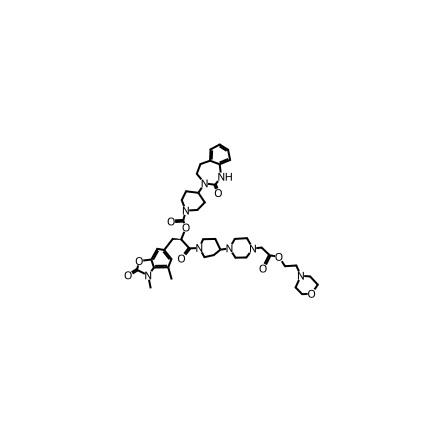 Cc1cc(C[C@@H](OC(=O)N2CCC(N3CCc4ccccc4NC3=O)CC2)C(=O)N2CCC(N3CCN(CC(=O)OCCN4CCOCC4)CC3)CC2)cc2oc(=O)n(C)c12